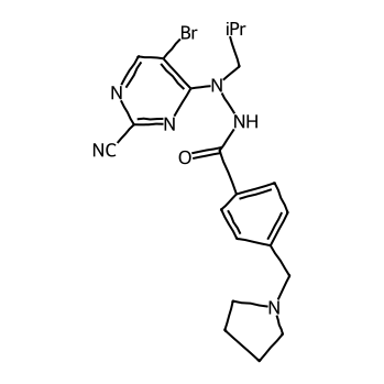 CC(C)CN(NC(=O)c1ccc(CN2CCCC2)cc1)c1nc(C#N)ncc1Br